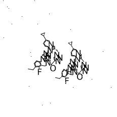 CCc1ccc(-n2cnnn2)c(CNC(=O)c2cn(Cc3cn4cc(C5CC5)ccc4n3)nn2)c1F.CCc1ccc(-n2cnnn2)c(CNC(=O)c2cn(Cc3cn4cc(C5CC5)ccc4n3)nn2)c1F